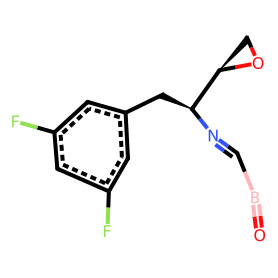 O=B/C=N/[C@@H](Cc1cc(F)cc(F)c1)[C@H]1CO1